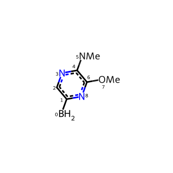 Bc1cnc(NC)c(OC)n1